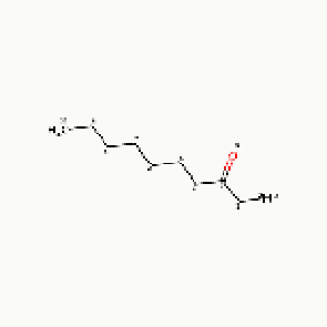 [2H]CC(=O)CCCCCCC